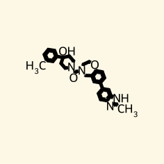 Cc1cccc(C2(O)CCN(C(=O)N3CCOc4ccc(-c5ccc6nc(C)[nH]c6c5)cc4C3)CC2)c1